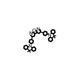 CC1(C)c2ccccc2N(c2ccc(-c3cnc4oc5ncc(-c6ccc(N7c8ccccc8C(C)(C)c8ccccc87)cc6)cc5c4c3)cc2)c2ccccc21